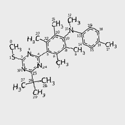 CSc1nc(-c2c(C)c(C)c(N(C)c3ccc(C)cc3)c(C)c2C)nc(C(C)(C)C)n1